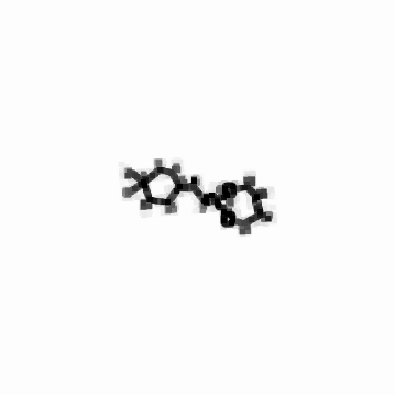 CC1(C)CCC(=CC[13CH]2OCC=CCO2)CC1